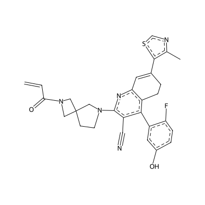 C=CC(=O)N1CC2(CCN(c3nc4c(c(-c5cc(O)ccc5F)c3C#N)CCC(c3scnc3C)=C4)C2)C1